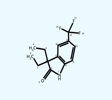 CCC1(CC)C(=O)Nc2ccc(C(F)(F)F)cc21